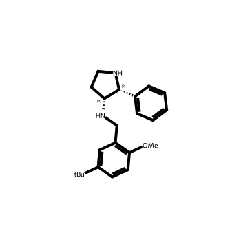 COc1ccc(C(C)(C)C)cc1CN[C@@H]1CCN[C@@H]1c1ccccc1